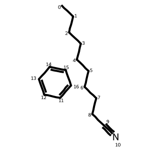 CCCCCCCCCC#N.c1ccccc1